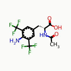 CC(=O)N[C@H](Cc1cc(C(F)(F)F)c(N)c(C(F)(F)F)c1)C(=O)O